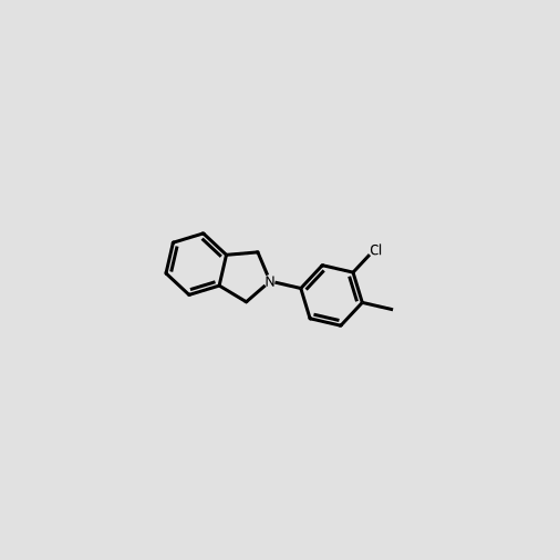 Cc1ccc(N2Cc3ccccc3C2)cc1Cl